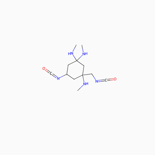 CNC1(CN=C=O)C[C](N=C=O)CC(NC)(NC)C1